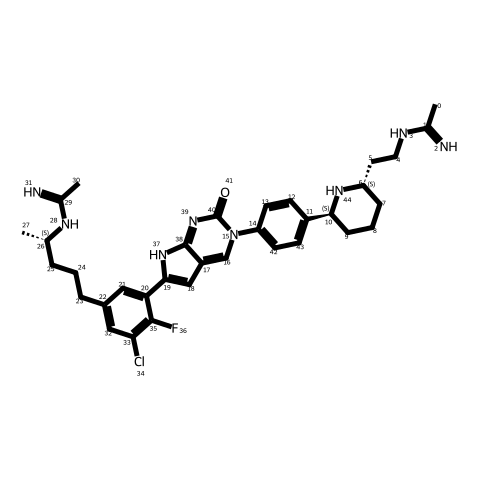 CC(=N)NCC[C@@H]1CCC[C@@H](c2ccc(-n3cc4cc(-c5cc(CCC[C@H](C)NC(C)=N)cc(Cl)c5F)[nH]c4nc3=O)cc2)N1